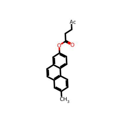 CC(=O)CCC(=O)Oc1ccc2c(ccc3cc(C)ccc32)c1